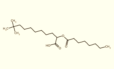 CCCCCCCC(=O)OC(CCCCCCCC(C)(C)C)C(=O)O